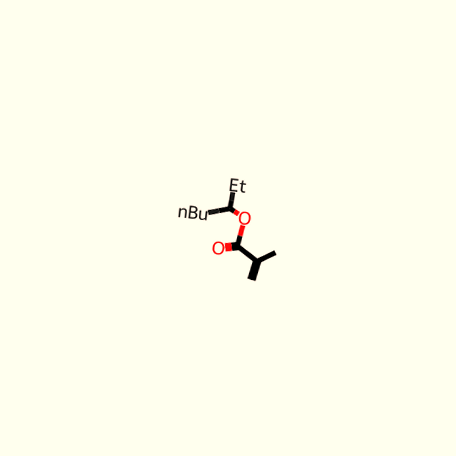 C=C(C)C(=O)OC(CC)CCCC